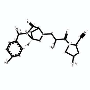 CC1CC(C#N)N(C(=O)C(N)CN2C[C@@H]3CC2C(=O)N3C(C)c2ccc(S)cc2)C1